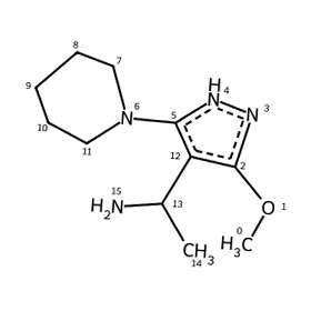 COc1n[nH]c(N2CCCCC2)c1C(C)N